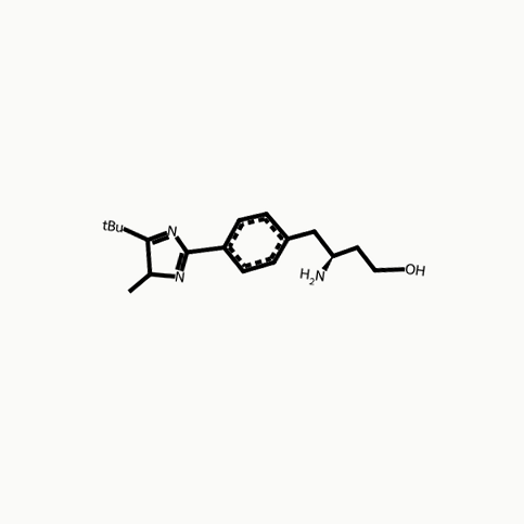 CC1N=C(c2ccc(C[C@H](N)CCO)cc2)N=C1C(C)(C)C